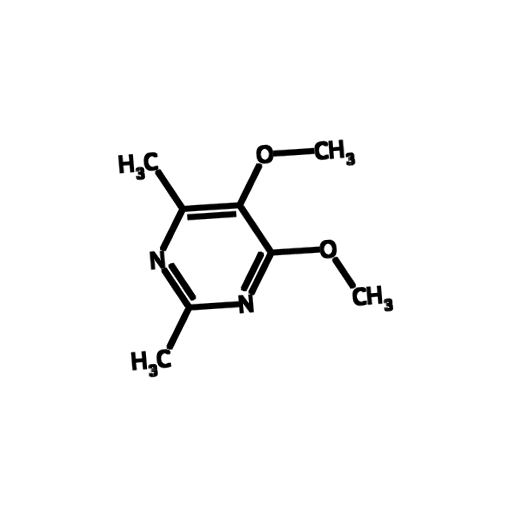 COc1nc(C)nc(C)c1OC